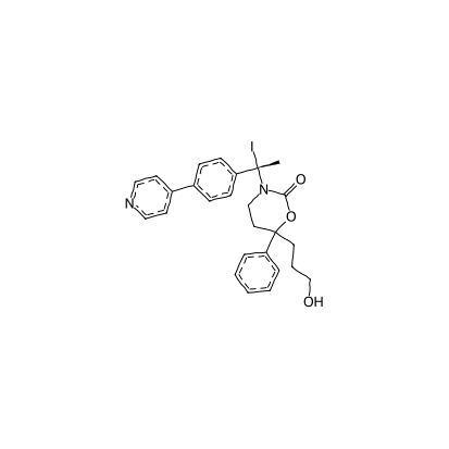 C[C@](I)(c1ccc(-c2ccncc2)cc1)N1CCC(CCCO)(c2ccccc2)OC1=O